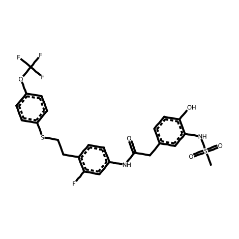 CS(=O)(=O)Nc1cc(CC(=O)Nc2ccc(CCSc3ccc(OC(F)(F)F)cc3)c(F)c2)ccc1O